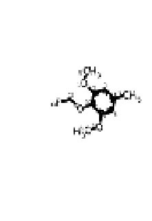 COc1cc(C)cc(OC)c1OCF